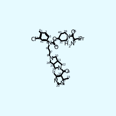 Cc1ccc(N(CCCN2CC3CN(C(=O)c4c(C)ncnc4C)CC3C2)C(=O)OC2CCN(C(=O)C(N)C(C)C)CC2)cc1Cl